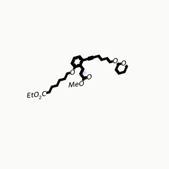 CCOC(=O)CCCCCCOc1cccc(C#CCCCCOC2CCCCO2)c1/C=C/C(=O)OC